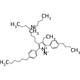 CCCCCCc1ccc(C2=C(CCCC)C(CC)=C(c3ccc(CCCC)cc3)[N+]2=[N-])cc1.CCC[CH2][Ni][CH2]CCC